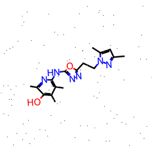 Cc1cc(C)n(CCc2nnc(Nc3nc(C)c(O)c(C)c3C)o2)n1